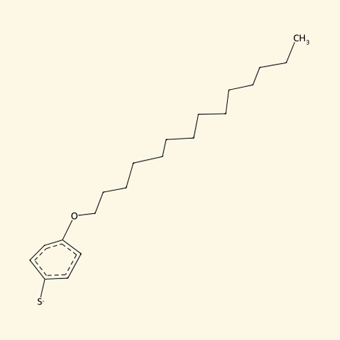 CCCCCCCCCCCCCCOc1ccc([S])cc1